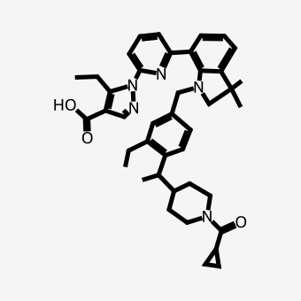 CCc1cc(CN2CC(C)(C)c3cccc(-c4cccc(-n5ncc(C(=O)O)c5CC)n4)c32)ccc1C(C)C1CCN(C(=O)C2CC2)CC1